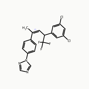 C/C(=C/C(c1cc(Cl)cc(Cl)c1)C(F)(F)F)c1ccc(-n2cncn2)cc1